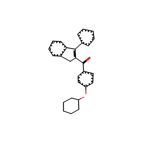 O=C(C1=C(c2ccccc2)c2ccccc2C1)c1ccc(OC2CCCCC2)cc1